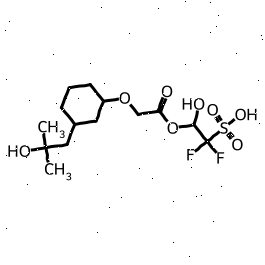 CC(C)(O)CC1CCCC(OCC(=O)OC(O)C(F)(F)S(=O)(=O)O)C1